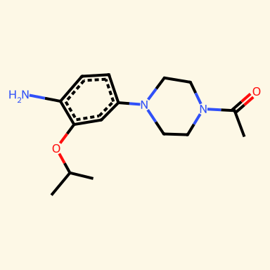 CC(=O)N1CCN(c2ccc(N)c(OC(C)C)c2)CC1